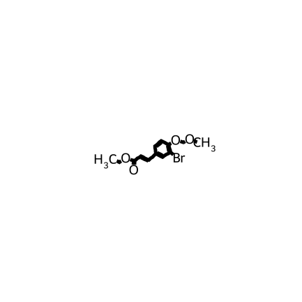 CCOC(=O)/C=C/c1ccc(OCOC)c(Br)c1